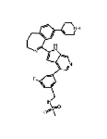 CS(=O)(=O)NCc1cc(F)cc(-c2cncc3[nH]c(C4=NCCCc5ccc(C6=CCNCC6)cc54)cc23)c1